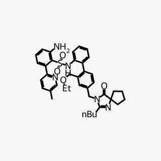 CCCCC1=NC2(CCCC2)C(=O)N1Cc1ccc(-c2ccccc2NS(=O)(=O)c2c(N)cccc2-c2ccc(C)cn2)c(COCC)c1